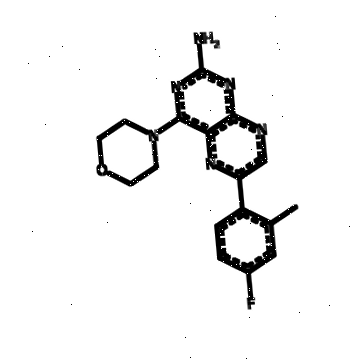 Cc1cc(F)ccc1-c1cnc2nc(N)nc(N3CCOCC3)c2n1